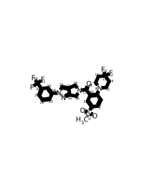 CS(=O)(=O)c1ccc(N2CCC(F)(F)CC2)c(C(=O)N2Cc3cn(-c4cccc(C(F)(F)F)c4)nc3C2)c1